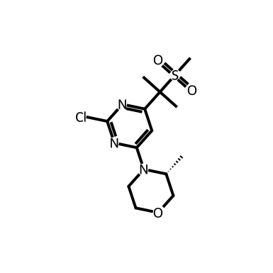 C[C@@H]1COCCN1c1cc(C(C)(C)S(C)(=O)=O)nc(Cl)n1